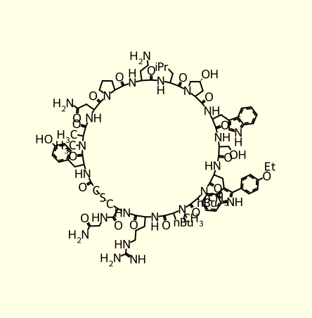 CCCCC1C(=O)N(C)C(CCCC)C(=O)NC(CCCNC(=N)N)C(=O)NC(C(=O)NCC(N)=O)CSCC(=O)NC(Cc2ccc(O)cc2)C(=O)N(C)C(C)C(=O)NC(CC(N)=O)C(=O)N2CCCC2C(=O)NC(CCN)C(=O)NC(CC(C)C)C(=O)N2C[C@H](O)CC2C(=O)NC(Cc2c[nH]c3ccccc23)C(=O)NC(CO)C(=O)NC(Cc2c(-c3ccc(OCC)cc3)[nH]c3ccccc23)C(=O)N1C